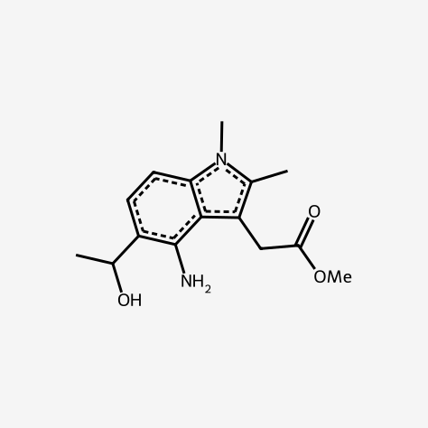 COC(=O)Cc1c(C)n(C)c2ccc(C(C)O)c(N)c12